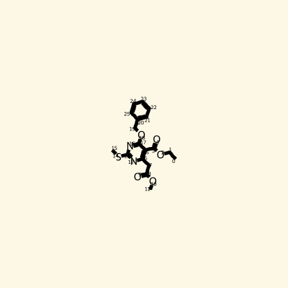 CCOC(=O)c1c(CC(=O)OC)nc(SC)nc1OCc1ccccc1